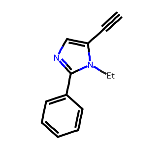 C#Cc1cnc(-c2ccccc2)n1CC